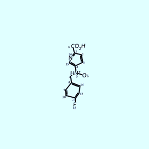 O=C(O)c1ccc([NH+]([O-])Cc2ccc(F)cc2)cn1